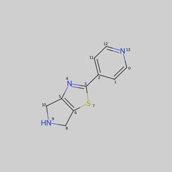 c1cc(-c2nc3c(s2)CNC3)ccn1